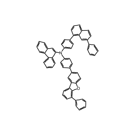 c1ccc(-c2ccc3cccc(-c4ccc(N(c5ccc(-c6ccc7oc8c(-c9ccccc9)cccc8c7c6)cc5)c5cc6ccccc6c6ccccc56)cc4)c3c2)cc1